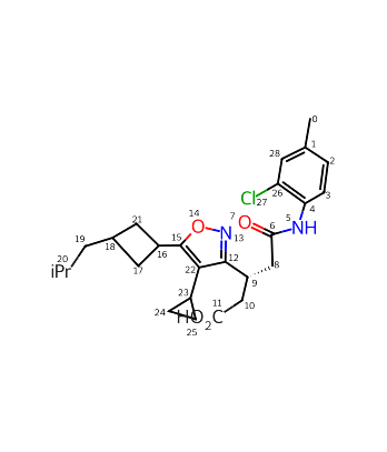 Cc1ccc(NC(=O)C[C@H](CC(=O)O)c2noc(C3CC(CC(C)C)C3)c2C2CC2)c(Cl)c1